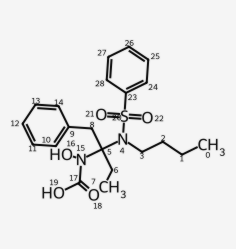 CCCCN(C(CC)(Cc1ccccc1)N(O)C(=O)O)S(=O)(=O)c1ccccc1